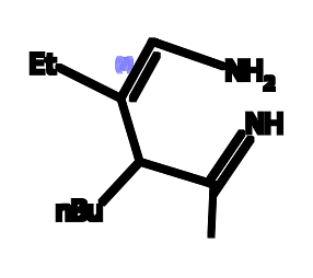 CCCCC(C(C)=N)/C(=C\N)CC